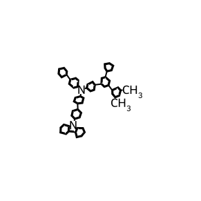 Cc1cc(C)cc(-c2cc(-c3ccccc3)cc(-c3ccc(N(c4ccc(-c5ccccc5)cc4)c4ccc(-c5ccc(-n6c7ccccc7c7ccccc76)cc5)cc4)cc3)c2)c1